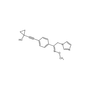 CO/N=C(\Cn1ccnc1)c1ccc(C#CC2(O)CC2)cc1